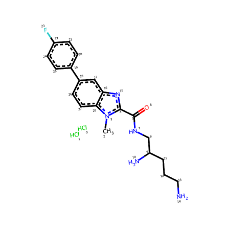 Cl.Cl.Cn1c(C(=O)NCC(N)CCCN)nc2cc(-c3ccc(F)cc3)ccc21